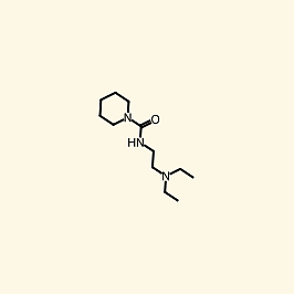 CCN(CC)CCNC(=O)N1CCCCC1